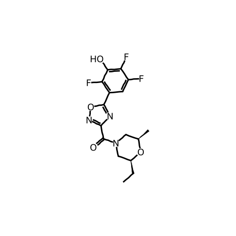 CC[C@H]1CN(C(=O)c2noc(-c3cc(F)c(F)c(O)c3F)n2)C[C@@H](C)O1